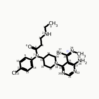 CCNCCC(=O)N(c1ccc(Cl)cc1)C1CCN(c2ncnc(N)c2/C(Br)=N\C)CC1